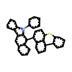 c1ccc(-n2c3ccccc3c3cc4ccccc4c(-c4ccc5c6c(cccc46)-c4ccccc4S5)c32)cc1